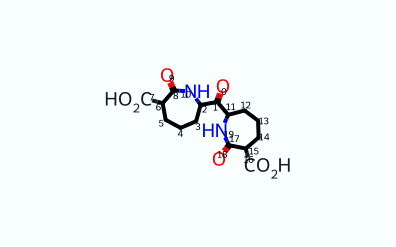 O=C(C1CCCC(C(=O)O)C(=O)N1)C1CCCC(C(=O)O)C(=O)N1